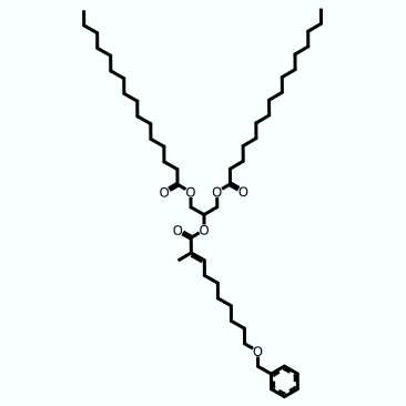 CCCCCCCCCCCCCCCC(=O)OCC(COC(=O)CCCCCCCCCCCCCCC)OC(=O)/C(C)=C/CCCCCCCOCc1ccccc1